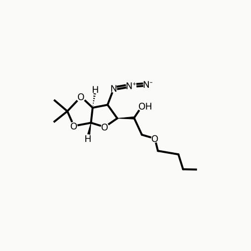 CCCCOCC(O)[C@H]1O[C@@H]2OC(C)(C)O[C@H]2C1N=[N+]=[N-]